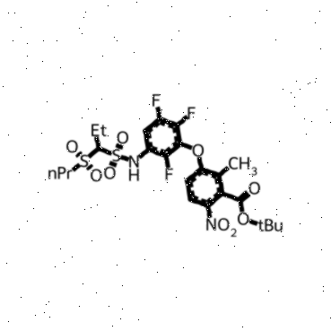 CCCS(=O)(=O)C(CC)S(=O)(=O)Nc1cc(F)c(F)c(Oc2ccc([N+](=O)[O-])c(C(=O)OC(C)(C)C)c2C)c1F